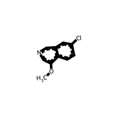 COc1cncc2cc(Cl)ccc12